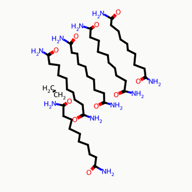 C=C.NC(=O)CCCCCCCCC(N)=O.NC(=O)CCCCCCCCC(N)=O.NC(=O)CCCCCCCCC(N)=O.NC(=O)CCCCCCCCC(N)=O.NC(=O)CCCCCCCCC(N)=O